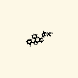 Cc1c(-c2onc(-c3c(F)cccc3Cl)c2-c2ccncn2)cnn1C1CC(C)(O[Si](C)(C)C(C)(C)C)C1